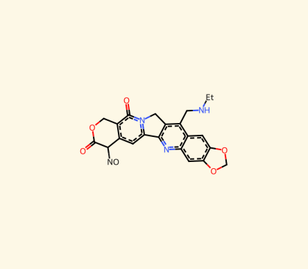 CCNCc1c2c(nc3cc4c(cc13)OCO4)-c1cc3c(c(=O)n1C2)COC(=O)C3N=O